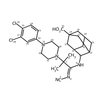 CC(C)(/C(=N\C#N)NC1C2CC3CC1CC(C(=O)O)(C3)C2)N1CCN(c2ccc(Cl)c(Cl)c2)CC1